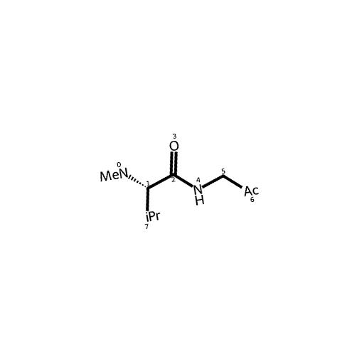 CN[C@H](C(=O)NCC(C)=O)C(C)C